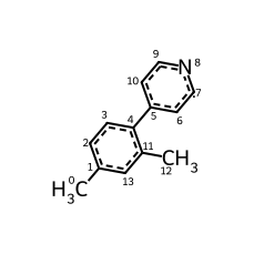 Cc1ccc(-c2c[c]ncc2)c(C)c1